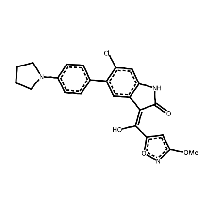 COc1cc(/C(O)=C2\C(=O)Nc3cc(Cl)c(-c4ccc(N5CCCC5)cc4)cc32)on1